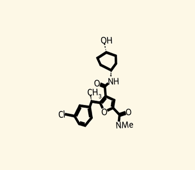 CNC(=O)c1cc(C(=O)N[C@H]2CC[C@@H](O)CC2)c([C@@H](C)c2cccc(Cl)c2)o1